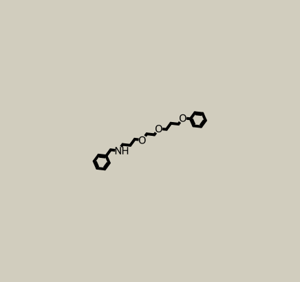 c1ccc(CNCCCOCCOCCCOc2ccccc2)cc1